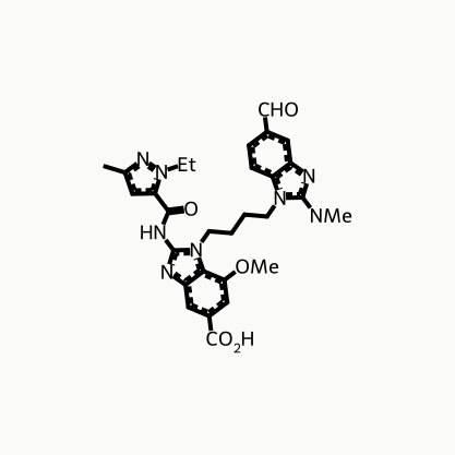 CCn1nc(C)cc1C(=O)Nc1nc2cc(C(=O)O)cc(OC)c2n1CCCCn1c(NC)nc2cc(C=O)ccc21